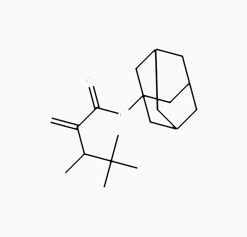 C=C(C(=O)OC12CC3CC(CC(C3)C1)C2)C(C)C(C)(C)C